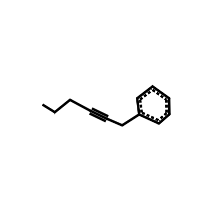 C[CH]CC#CCc1ccccc1